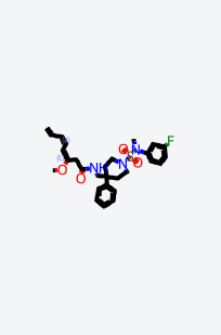 C=C/C=C\C=C(/CC(=O)NCC1(c2ccccc2)CCN(S(=O)(=O)N(C)c2cccc(F)c2)CC1)OC